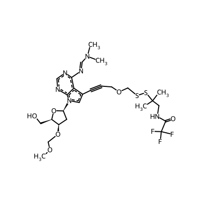 COCO[C@@H]1C[C@H](n2cc(C#CCOCSSC(C)(C)CNC(=O)C(F)(F)F)c3c(/N=C/N(C)C)ncnc32)O[C@@H]1CO